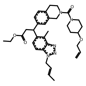 C=CCOC1CCN(C(=O)N2CCc3ccc(C(CC(=O)OCC)c4ccc5c(nnn5C/C=C/C)c4C)cc3C2)CC1